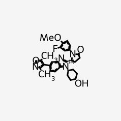 COc1ccc(N2C(=O)CC[C@H]2c2nc3cc(-c4c(C)noc4C)ccc3n2C2CCC(O)CC2)cc1F